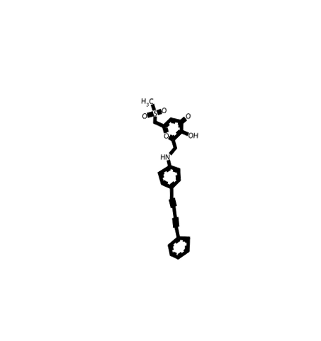 CS(=O)(=O)Cc1cc(=O)c(O)c(CNc2ccc(C#CC#Cc3ccccc3)cc2)o1